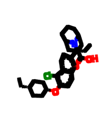 CC[C@H](c1ccc2c(Cl)c(O[C@H]3CC[C@@H](CC)CC3)ccc2c1)N1C2CCCC1CC(C(=O)O)C2